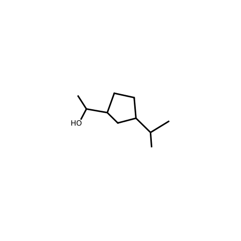 CC(C)C1CCC(C(C)O)C1